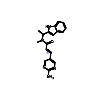 CC(c1cc2ccccc2[nH]1)N(C)C(=O)/C=C/c1cnc(N)nc1